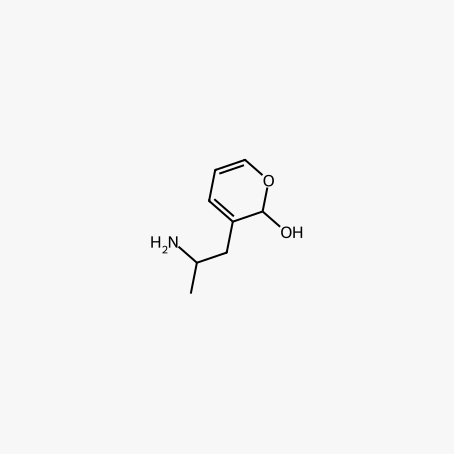 CC(N)CC1=CC=COC1O